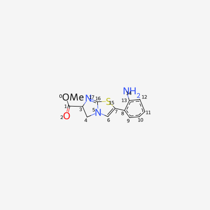 COC(=O)C1CN2C=C(c3ccccc3N)SC2=N1